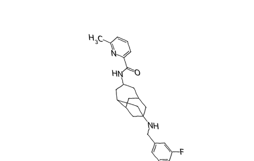 Cc1cccc(C(=O)NC2CC3CC4CC(NCc5cccc(F)c5)(C3)CC4C2)n1